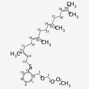 COOCOCc1ccccc1SC/C=C(\C)CC/C=C(\C)CC/C=C(\C)CCC=C(C)C